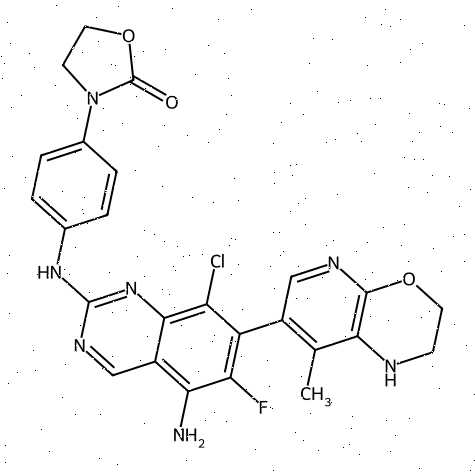 Cc1c(-c2c(F)c(N)c3cnc(Nc4ccc(N5CCOC5=O)cc4)nc3c2Cl)cnc2c1NCCO2